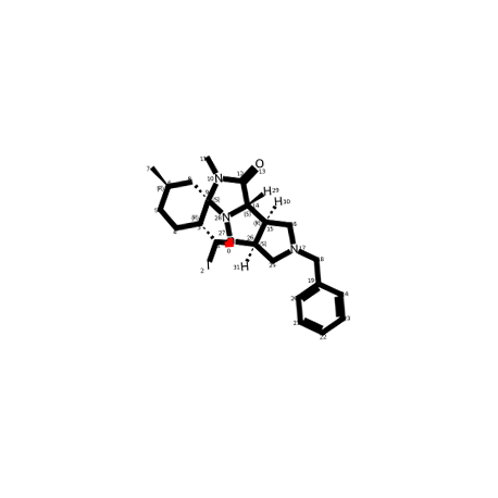 CC(I)[C@@H]1CC[C@@H](C)C[C@@]12N(C)C(=O)[C@@H]1[C@H]3CN(Cc4ccccc4)C[C@H]3ON12